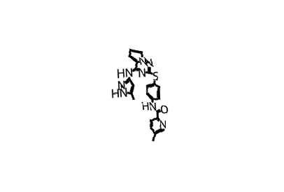 Cc1ccc(C(=O)Nc2ccc(Sc3nc(Nc4cc(C)[nH]n4)c4cccn4n3)cc2)nc1